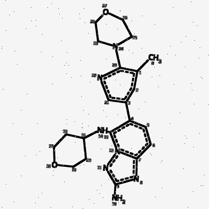 Cc1cc(-c2ccc3nc(N)nn3c2NC2CCOCC2)cnc1N1CCOCC1